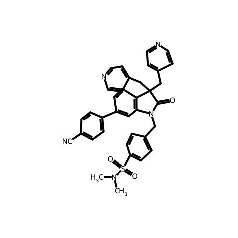 CN(C)S(=O)(=O)c1ccc(CN2C(=O)C(Cc3ccncc3)(Cc3ccncc3)c3ccc(-c4ccc(C#N)cc4)cc32)cc1